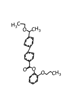 CCCOc1ccccc1OC(=O)c1ccc(-c2ccc(C(C)OCC)cc2)cc1